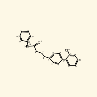 O=C(CCCc1ccc(-c2ccccc2Cl)cc1)Nc1cccnc1